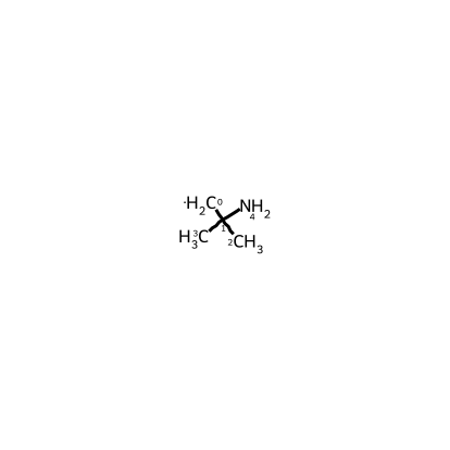 [CH2]C(C)(C)N